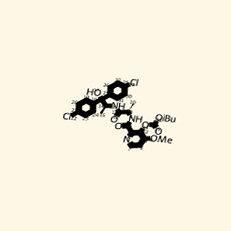 COc1ccnc(C(=O)N[C@@H](C)C(=O)N[C@@H](C)C(O)(c2ccc(Cl)cc2)c2ccc(Cl)cc2)c1OC(=O)OCC(C)C